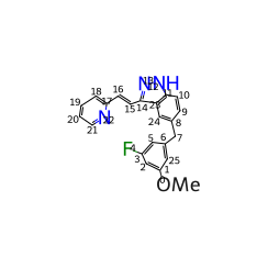 COc1cc(F)cc(Cc2ccc3[nH]nc(C=Cc4ccccn4)c3c2)c1